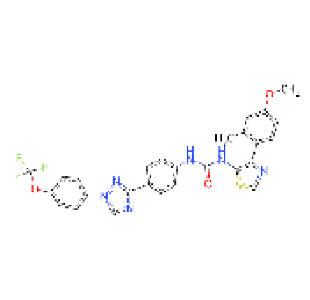 COc1ccc(-c2ncsc2NC(=O)Nc2ccc(-c3ncn(-c4ccc(OC(F)(F)F)cc4)n3)cc2)c(C)c1